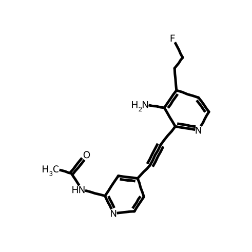 CC(=O)Nc1cc(C#Cc2nccc(CCF)c2N)ccn1